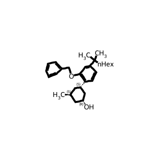 CCCCCCC(C)(C)c1ccc([C@H]2C[C@H](C)C[C@@H](O)C2)c(OCc2ccccc2)c1